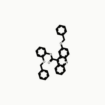 O=C(Oc1ccccc1OCc1ccccc1)c1c2ccccc2nc2ccc(OCc3ccccc3)cc12